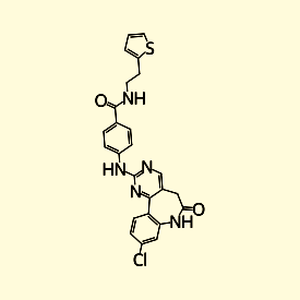 O=C1Cc2cnc(Nc3ccc(C(=O)NCCc4cccs4)cc3)nc2-c2ccc(Cl)cc2N1